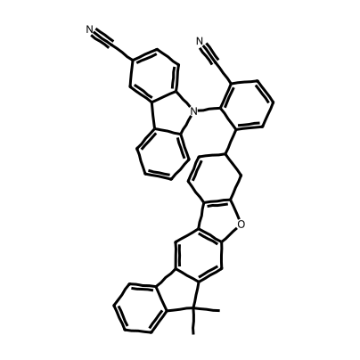 CC1(C)c2ccccc2-c2cc3c4c(oc3cc21)CC(c1cccc(C#N)c1-n1c2ccccc2c2cc(C#N)ccc21)C=C4